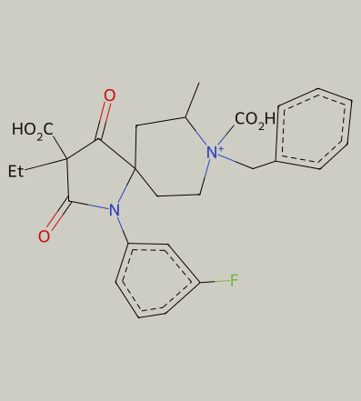 CCC1(C(=O)O)C(=O)N(c2cccc(F)c2)C2(CC[N+](Cc3ccccc3)(C(=O)O)C(C)C2)C1=O